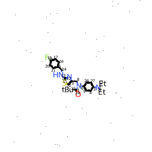 CCN(CC)c1ccc(N(Cc2csc(NCc3ccc(F)cc3)n2)C(=O)C(C)(C)C)cc1